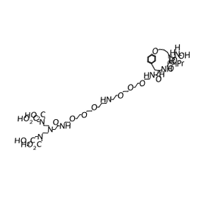 CC(C)C[C@H]1C(=O)N[C@H](C(=O)NCCOCCOCCOCCNCCCOCCOCCOCCNC(=O)CN(CCN(CC(=O)O)CC(=O)O)CCN(CC(=O)O)CC(=O)O)Cc2ccc(cc2)OCCC[C@@H]1C(=O)NO